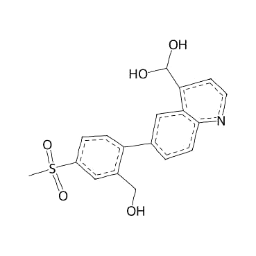 CS(=O)(=O)c1ccc(-c2ccc3nccc(C(O)O)c3c2)c(CO)c1